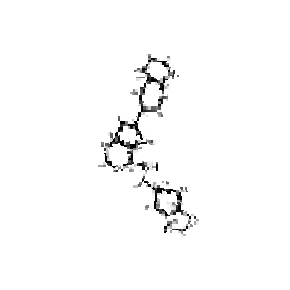 c1cnc2ccc(-c3cc4ncnc(NCc5ccc6c(c5)OCO6)c4s3)cc2c1